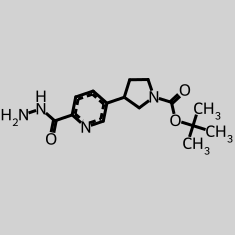 CC(C)(C)OC(=O)N1CCC(c2ccc(C(=O)NN)nc2)C1